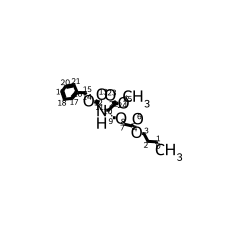 CCCCOC(=O)COC[C@H](NC(=O)OCc1ccccc1)C(=O)OC